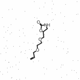 C=CCOCCOCC1CNC(=O)O1